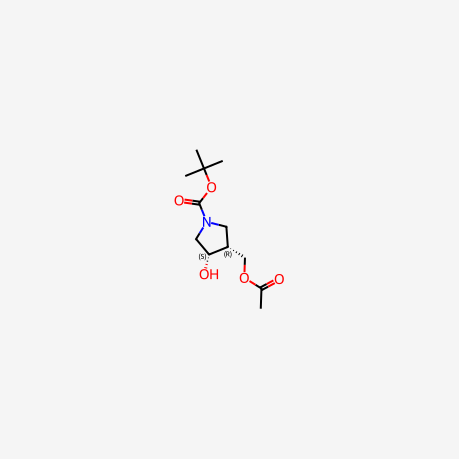 CC(=O)OC[C@H]1CN(C(=O)OC(C)(C)C)C[C@H]1O